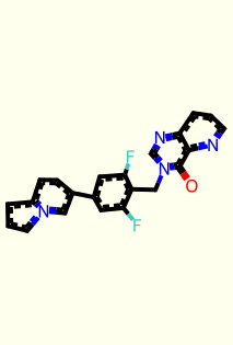 O=c1c2ncccc2ncn1Cc1c(F)cc(-c2ccc3cccn3c2)cc1F